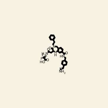 NN=Cc1ccc(CNC(=O)c2ccc3c(c2)NC(CC(N)=O)C(=O)N(CCc2ccccc2)C3)cc1.O=C(O)C(F)(F)F